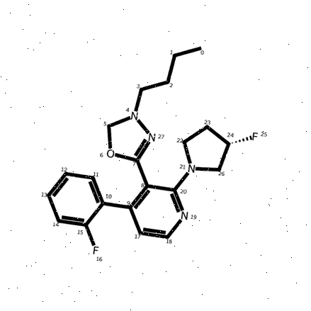 CCCCN1COC(c2c(-c3ccccc3F)ccnc2N2CC[C@H](F)C2)=N1